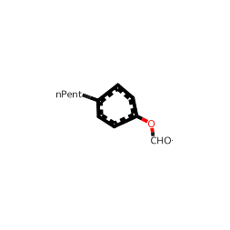 CCCCCc1ccc(O[C]=O)cc1